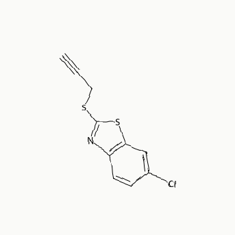 C#CCSc1nc2ccc(Cl)cc2s1